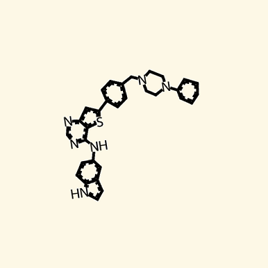 c1ccc(N2CCN(Cc3ccc(-c4cc5ncnc(Nc6ccc7[nH]ccc7c6)c5s4)cc3)CC2)cc1